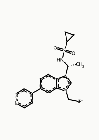 CC(C)Cn1cc([C@@H](C)NS(=O)(=O)C2CC2)c2ccc(-c3ccncc3)cc21